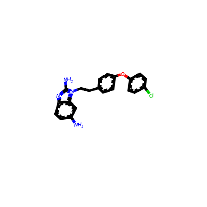 Nc1ccc2nc(N)n(CCc3ccc(Oc4ccc(Cl)cc4)cc3)c2c1